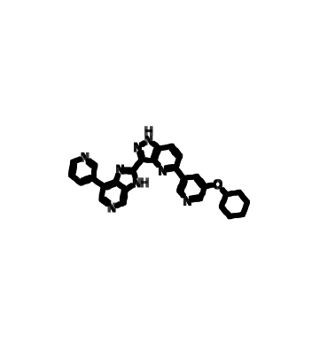 c1cncc(-c2cncc3[nH]c(-c4n[nH]c5ccc(-c6cncc(OC7CCCCC7)c6)nc45)nc23)c1